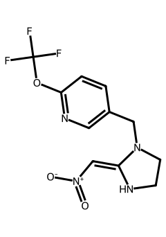 O=[N+]([O-])/C=C1\NCCN1Cc1ccc(OC(F)(F)F)nc1